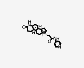 C[C@]12CC[C@H]3[C@@H](CCC4NC(=O)CC[C@@]43C)[C@@H]1CC[C@@H]2CCC(=O)Nc1ccncc1